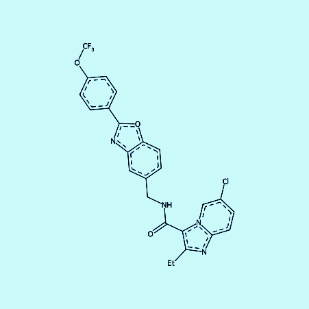 CCc1nc2ccc(Cl)cn2c1C(=O)NCc1ccc2oc(-c3ccc(OC(F)(F)F)cc3)nc2c1